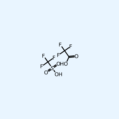 O=C(O)C(F)(F)F.O=S(=O)(O)C(F)(F)F